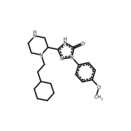 COc1ccc(-n2nc(C3CNCCN3CCC3CCCCC3)[nH]c2=O)cc1